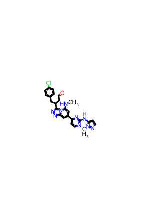 CNc1cc(-c2ccnc(Nc3ccnn3C)n2)cc2nnc(C(CC=O)Cc3ccc(Cl)cc3)n12